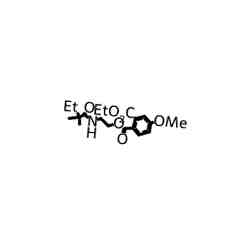 CCOC(=O)c1cc(OC)ccc1C(=O)OCCNC(=O)C(C)(C)CC